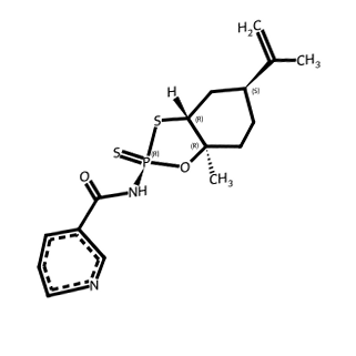 C=C(C)[C@H]1CC[C@@]2(C)O[P@@](=S)(NC(=O)c3cccnc3)S[C@@H]2C1